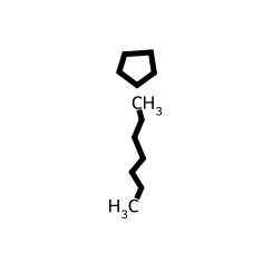 C1CCCC1.CCCCCCC